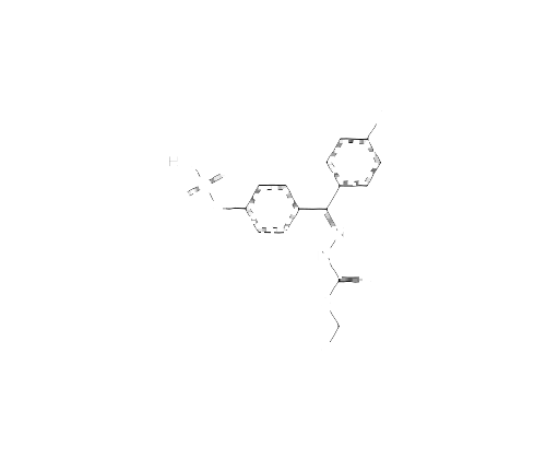 CCOC(=O)NN=C(c1ccc(Cl)cc1)c1ccc(OS(C)(=O)=O)cc1